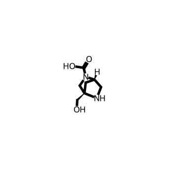 O=C(O)N1C[C@]2(CO)C[C@H]1CN2